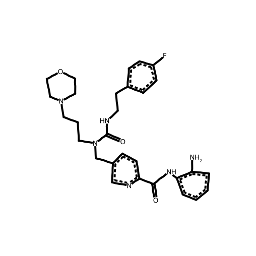 Nc1ccccc1NC(=O)c1ccc(CN(CCCN2CCOCC2)C(=O)NCCc2ccc(F)cc2)cn1